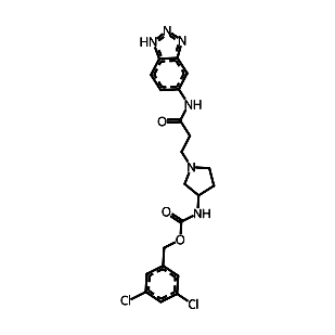 O=C(CCN1CCC(NC(=O)OCc2cc(Cl)cc(Cl)c2)C1)Nc1ccc2[nH]nnc2c1